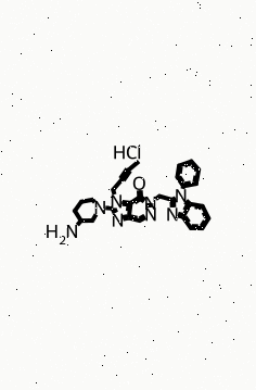 CC#CCn1c(N2CCCC(N)C2)nc2cnn(Cc3nc4ccccc4n3-c3ccccc3)c(=O)c21.Cl